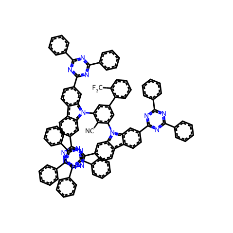 N#Cc1c(-n2c3cc(-c4nc(-c5ccccc5)nc(-c5ccccc5)n4)ccc3c3ccc(-c4nc(-c5ccccc5)nc(-c5ccccc5)n4)cc32)cc(-c2ccccc2C(F)(F)F)cc1-n1c2cc(-c3nc(-c4ccccc4)nc(-c4ccccc4)n3)ccc2c2ccc(-c3nc(-c4ccccc4)nc(-c4ccccc4)n3)cc21